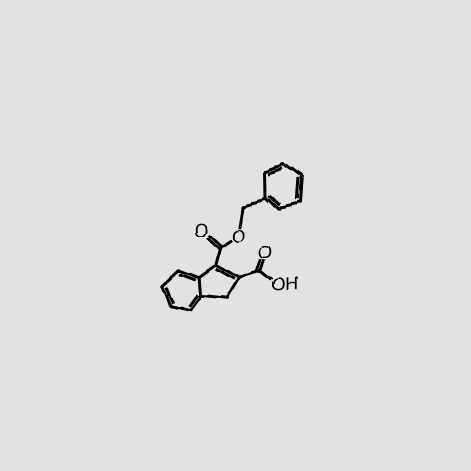 O=C(O)C1=C(C(=O)OCc2ccccc2)c2ccccc2C1